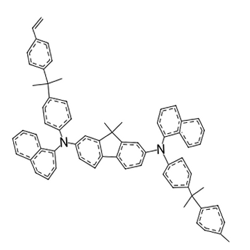 C=Cc1ccc(C(C)(C)c2ccc(N(c3ccc4c(c3)C(C)(C)c3cc(N(c5ccc(C(C)(C)c6ccc(C)cc6)cc5)c5cccc6ccccc56)ccc3-4)c3cccc4ccccc34)cc2)cc1